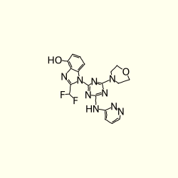 Oc1cccc2c1nc(C(F)F)n2-c1nc(Nc2cccnn2)nc(N2CCOCC2)n1